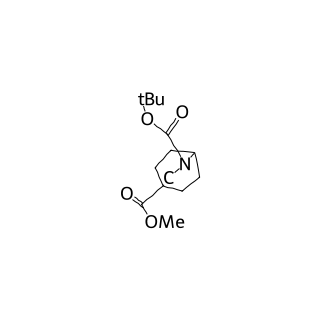 COC(=O)C12CCC(CC1)N(C(=O)OC(C)(C)C)C2